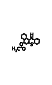 CC(=O)Oc1cc2c(c3ccccc13)Nc1ccccc1S2